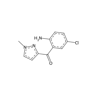 Cn1ccc(C(=O)c2cc(Cl)ccc2N)n1